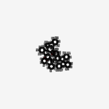 c1ccc(-c2ccccc2N(c2ccc3c(c2)C2(c4ccccc4-3)c3ccccc3-n3c4ccccc4c4cccc2c43)c2cc3c(c4ccccc24)-c2ccccc2C32c3ccccc3-c3ccccc32)cc1